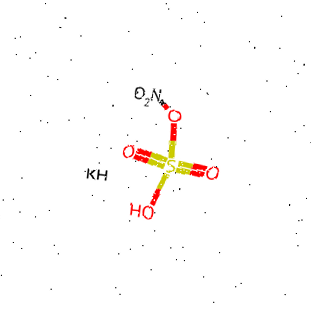 O=[N+]([O-])OS(=O)(=O)O.[KH]